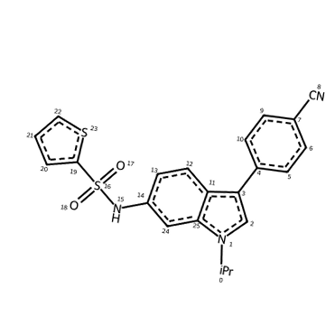 CC(C)n1cc(-c2ccc(C#N)cc2)c2ccc(NS(=O)(=O)c3cccs3)cc21